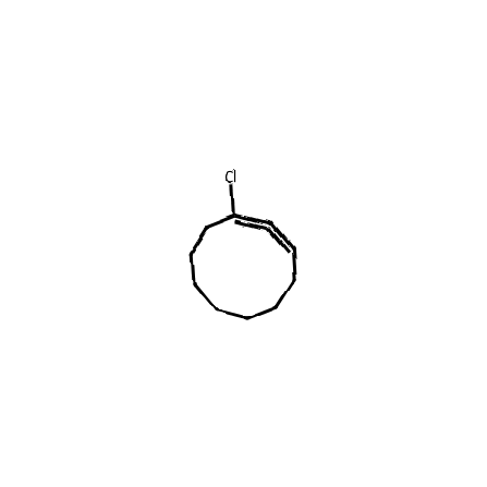 ClC1=C=CCCCCCCC1